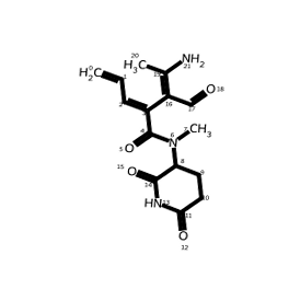 C=C/C=C(C(=O)N(C)C1CCC(=O)NC1=O)\C(C=O)=C(/C)N